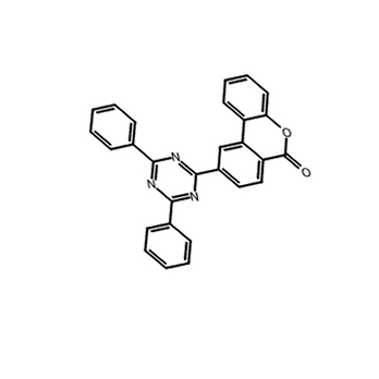 O=c1oc2ccccc2c2cc(-c3nc(-c4ccccc4)nc(-c4ccccc4)n3)ccc12